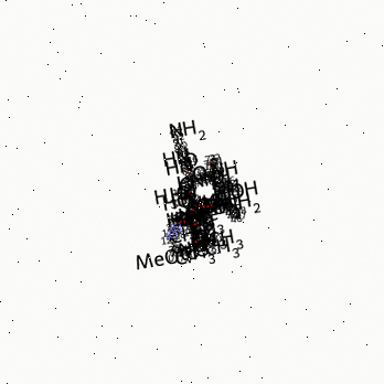 COc1cc2cc(c1Cl)N(C)C(=O)C[C@H](OC(=O)[C@H](C)N(C)C(=O)CCSSC[C@H](NC(=O)[C@@H]1CSSC[C@H](NC(=O)[C@H](N)Cc3ccccc3)C(=O)N[C@@H](Cc3ccc(O)cc3)C(=O)N[C@H](Cc3c[nH]c4ccccc34)C(=O)N[C@@H](CCCCNC(=O)NCCCCCCN)C(=O)N[C@@H]([C@@H](C)O)C(=O)N1)C(N)=O)[C@@]1(C)CC(C)(O1)[C@@H]1C[C@@](O)(NC(=O)O1)[C@H](OC)/C=C/C=C(\C)C2